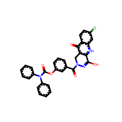 O=C(c1cccc(OC(=O)N(c2ccccc2)c2ccccc2)c1)N1Cc2c([nH]c3cc(Cl)ccc3c2=O)C(O)=N1